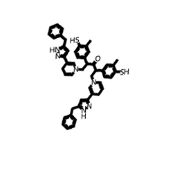 Cc1cc(C(CN2C=CCC(c3cc(Cc4ccccc4)[nH]n3)=C2)C(=O)C(CN2C=CCC(c3cc(Cc4ccccc4)[nH]n3)=C2)c2ccc(S)c(C)c2)ccc1S